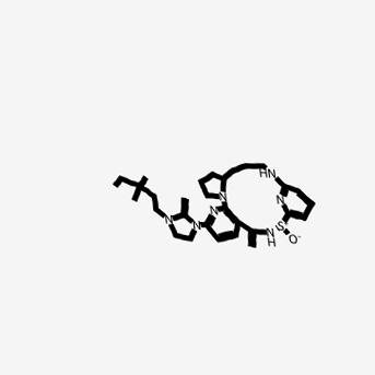 C=C1N[S+]([O-])c2cccc(n2)NCCCC2CCCN2c2nc(N3CCN(CCC(C)(C)CC)C3=C)ccc21